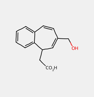 O=C(O)CC1C=C(CO)C=Cc2ccccc21